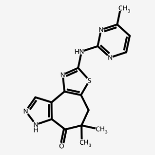 Cc1ccnc(Nc2nc3c(s2)CC(C)(C)C(=O)c2[nH]ncc2-3)n1